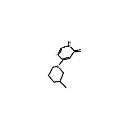 CC1CCCN(c2cc(=O)[nH]cn2)C1